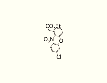 CCOC(=O)Cc1cccc(Oc2cccc(Cl)c2)c1[N+](=O)[O-]